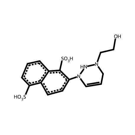 O=S(=O)(O)c1cccc2c(S(=O)(=O)O)c(N3C=CCN(CCO)N3)ccc12